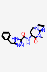 CN1C(=O)C(NC(=O)c2nnc(Cc3ccccc3)[nH]2)CCn2ccnc21